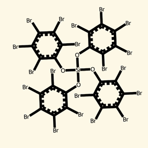 Brc1c(Br)c(Br)c(O[Si](Oc2c(Br)c(Br)c(Br)c(Br)c2Br)(Oc2c(Br)c(Br)c(Br)c(Br)c2Br)Oc2c(Br)c(Br)c(Br)c(Br)c2Br)c(Br)c1Br